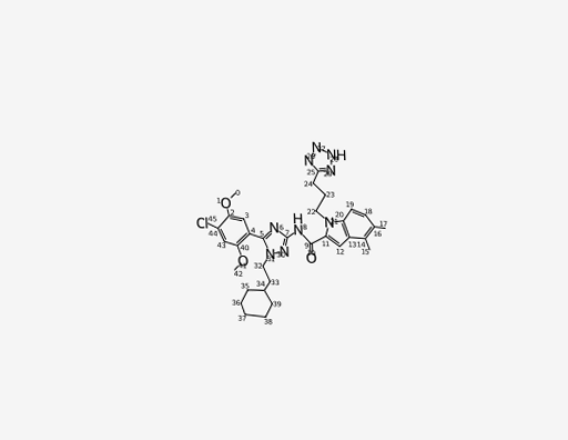 COc1cc(-c2nc(NC(=O)c3cc4c(C)c(C)ccc4n3CCCc3nn[nH]n3)nn2CCC2CCCCC2)c(OC)cc1Cl